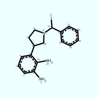 Nc1cccc(C2CCN(C(I)c3ccccc3)C2)c1N